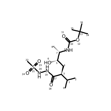 CC(C)[C@H](C[C@H](O)[C@H](C)NC(=O)OC(C)(C)C)C(=O)NNS(C)(=O)=O